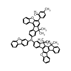 Cc1ccc(-c2cc3c(c4c2oc2ccccc24)-c2ccc(N(c4ccc5c(c4)C(C)(C)c4c6c(c7c(oc8ccccc87)c4-5)-c4ccccc4C6(C)C)c4ccc5c(c4)oc4ccccc45)cc2C3(C)C)c(C)c1